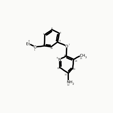 CCOc1cccc(Oc2ncc(N)cc2C)c1